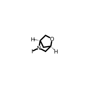 IN1C[C@H]2C[C@@H]1CO2